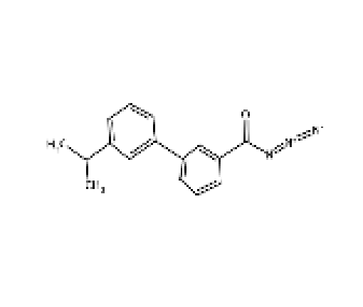 CC(C)c1cccc(-c2cccc(C(=O)N=[N+]=[N-])c2)c1